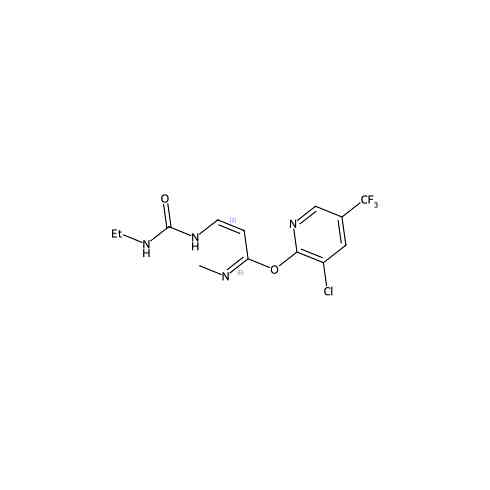 CCNC(=O)N/C=C\C(=N/C)Oc1ncc(C(F)(F)F)cc1Cl